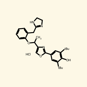 CC(Oc1ccccc1CC1=NCCN1)c1coc(-c2cc(C(C)(C)C)c(O)c(C(C)(C)C)c2)n1.Cl